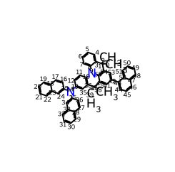 CC1(C)c2ccccc2N2c3ccc(N(c4ccc5ccccc5c4)c4ccc5ccccc5c4)cc3C(C)(C)c3cc(-c4cccc5ccccc45)cc1c32